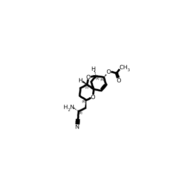 CC(=O)O[C@@H]1C=CC23C[C@H]1O[C@H]2CC[C@H](C[C@@H](N)C#N)O3